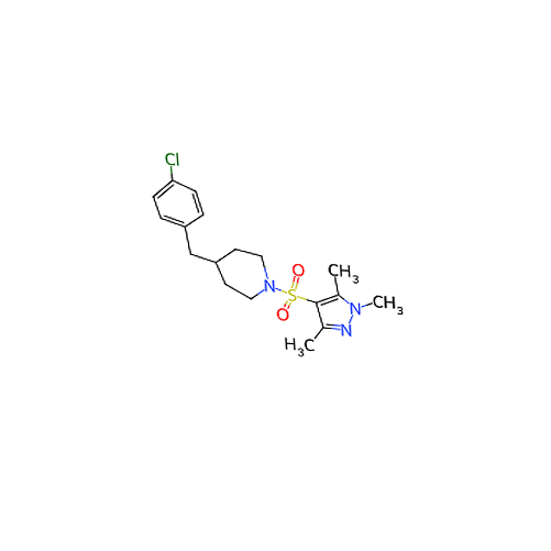 Cc1nn(C)c(C)c1S(=O)(=O)N1CCC(Cc2ccc(Cl)cc2)CC1